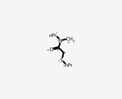 CCCSCC(=O)N(C)CCC